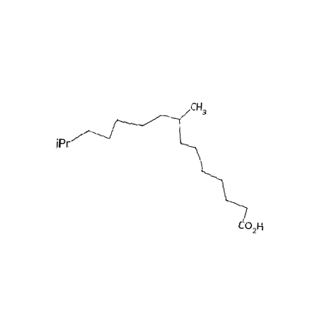 CC(C)CCCCCC(C)CCCCCCC(=O)O